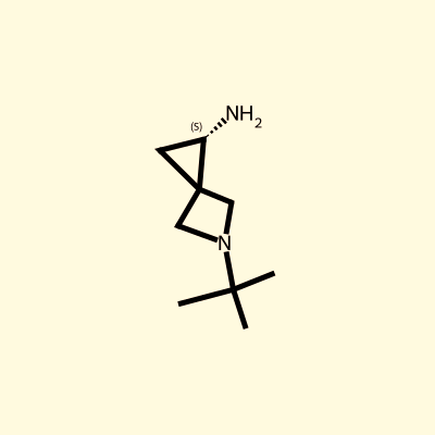 CC(C)(C)N1CC2(C[C@@H]2N)C1